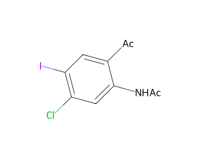 CC(=O)Nc1cc(Cl)c(I)cc1C(C)=O